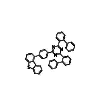 c1ccc(-c2ccccc2-c2nc(-c3ccc(-c4cccc5sc6ccccc6c45)cc3)nc(-c3ccccc3-c3ccccc3)n2)cc1